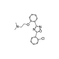 CN(C)CCOc1ccccc1-c1noc(-c2ccccc2Cl)n1